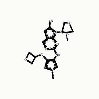 C[C@@H]1COC[C@@H]1n1c(C#N)cc2cnc(Nc3cn(C)nc3OC3COC3)nc21